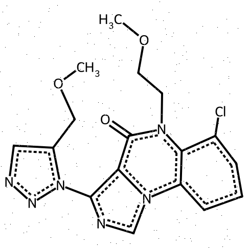 COCCn1c(=O)c2c(-n3nncc3COC)ncn2c2cccc(Cl)c21